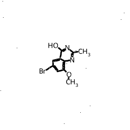 COc1cc(Br)cc2c(O)nc(C)nc12